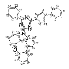 c1ccc(-c2ccc(-c3nc(-c4ccccc4)nc(-n4c5cccc6oc7ccccc7c7cccc4c7c65)n3)cc2)cc1